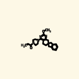 C=CC(=O)N1CCN(c2nc(OC)nc3c2CCC2(Cc4ccccc4C2)C3)CC1